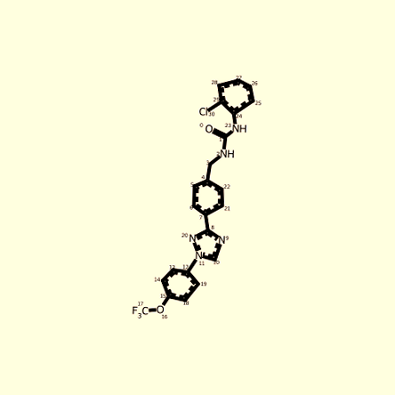 O=C(NCc1ccc(-c2ncn(-c3ccc(OC(F)(F)F)cc3)n2)cc1)Nc1ccccc1Cl